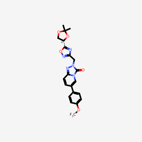 CC1(C)OC[C@@H](c2nc(Cn3nc4ccc(-c5ccc(OC(F)(F)F)cc5)cn4c3=O)no2)O1